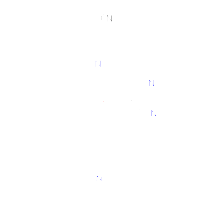 N#Cc1ccc2c(c1)c1ccccc1n2-c1ccc2c(c1)Oc1cc(-c3ccc4c(c3)c3ccccc3n4-c3ccccc3)ccc1C21c2cccnc2-c2ncccc21